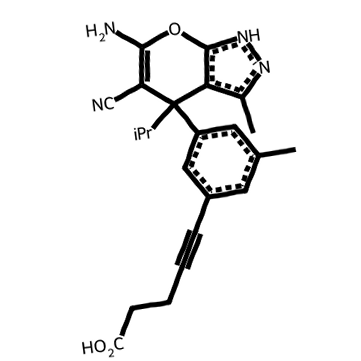 Cc1cc(C#CCCC(=O)O)cc(C2(C(C)C)C(C#N)=C(N)Oc3[nH]nc(C)c32)c1